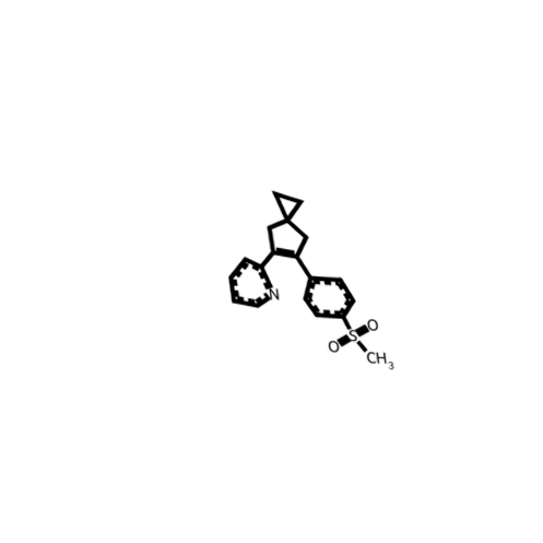 CS(=O)(=O)c1ccc(C2=C(c3ccccn3)CC3(CC3)C2)cc1